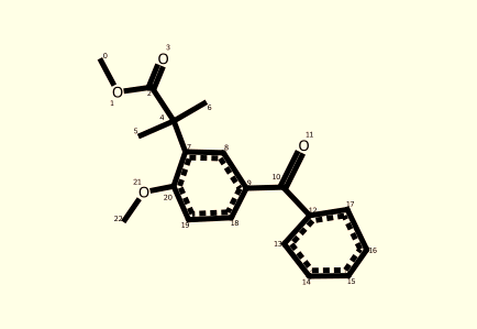 COC(=O)C(C)(C)c1cc(C(=O)c2ccccc2)ccc1OC